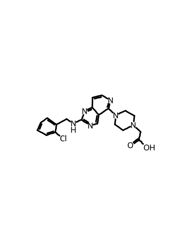 O=C(O)CN1CCN(c2nccc3nc(NCc4ccccc4Cl)ncc23)CC1